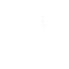 [N-]=[N+]=NCCOCC[O]